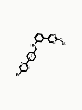 CCOc1ncc(-c2cccc(NCC34CCC(c5ncc(Br)cn5)(CC3)CC4)c2)cn1